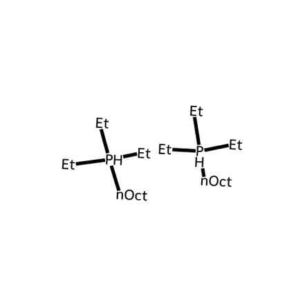 CCCCCCCC[PH](CC)(CC)CC.CCCCCCCC[PH](CC)(CC)CC